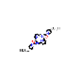 O=C(O)C1CCN(C(=O)CN2CC3=NC(CC=C3)CN(CC(=O)N3CCC(C(=O)O)CC3)Cc3cccc(n3)C2)CC1